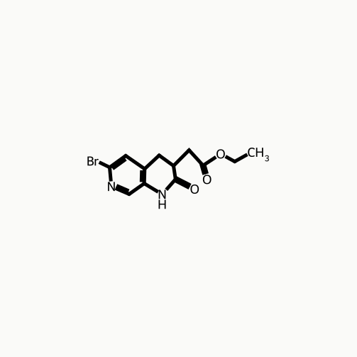 CCOC(=O)CC1Cc2cc(Br)ncc2NC1=O